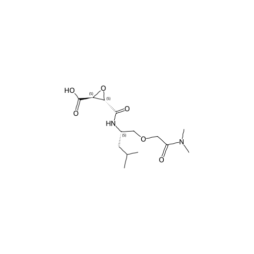 CC(C)C[C@@H](COCC(=O)N(C)C)NC(=O)[C@H]1O[C@@H]1C(=O)O